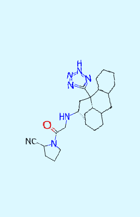 C[C@@H](CC1(c2nn[nH]n2)C2CCCCC2CC2CCCCC21)NCC(=O)N1CCCC1C#N